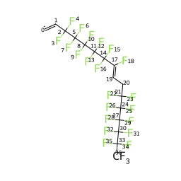 [CH]=CC(F)(F)C(F)(F)C(F)(F)C(F)(F)C(F)(F)C(F)=CCC(F)(F)C(F)(F)C(F)(F)C(F)(F)C(F)(F)C(F)(F)F